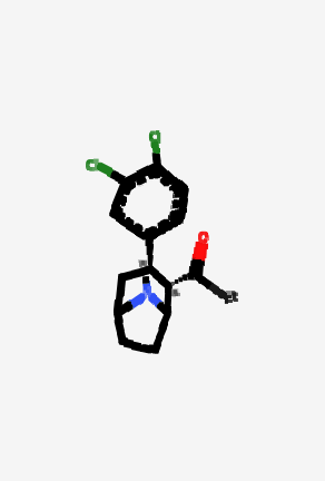 CCC(=O)[C@@H]1C2CCC(C[C@H]1c1ccc(Cl)c(Cl)c1)N2C